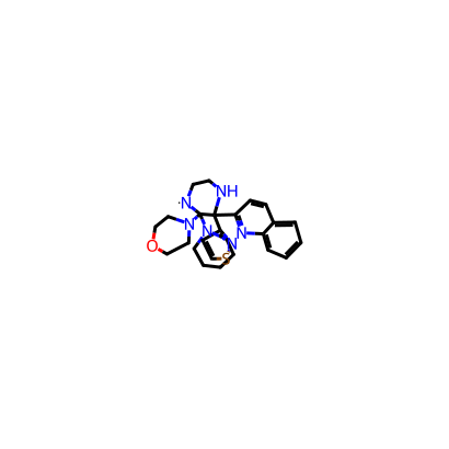 c1ccc2nc(C3(c4ccsn4)NCC[N]C3(N3CCCCC3)N3CCOCC3)ccc2c1